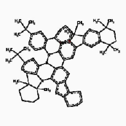 CC(C)(C)c1ccc(N2B3c4cc(C(C)(C)C)cc5c4N(c4c3c(cc3c4sc4ccccc43)-c3cc4c(cc32)C(C)(C)c2cc3c(cc2-4)C(C)(C)CCC3(C)C)C2(C)CCCCC52C)c(-c2ccccc2)c1